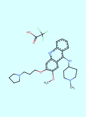 COc1cc2c(NC3CCN(C)CC3)c3ccccc3nc2cc1OCCCN1CCCC1.O=C(O)C(F)(F)F